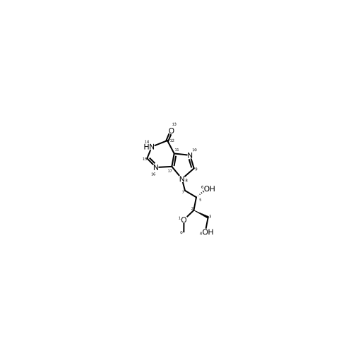 CO[C@H](CO)[C@@H](O)Cn1cnc2c(=O)[nH]cnc21